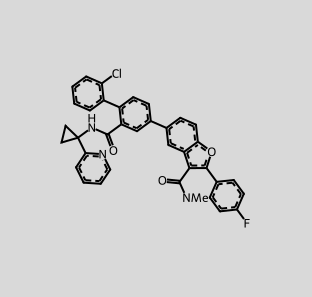 CNC(=O)c1c(-c2ccc(F)cc2)oc2ccc(-c3ccc(-c4ccccc4Cl)c(C(=O)NC4(c5ccccn5)CC4)c3)cc12